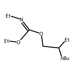 CCCCC(CC)COC(=NCC)OCC